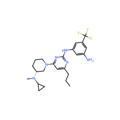 CCCc1cc(N2CCC[C@@H](N(C)C3CC3)C2)nc(Nc2cc(N)cc(C(F)(F)F)c2)n1